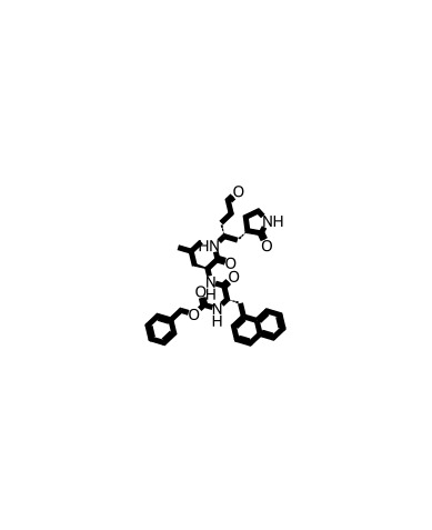 CC(C)C[C@H](NC(=O)[C@H](Cc1cccc2ccccc12)NC(=O)OCc1ccccc1)C(=O)N[C@H](CCC=O)C[C@@H]1CCNC1=O